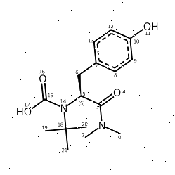 CN(C)C(=O)[C@H](Cc1ccc(O)cc1)N(C(=O)O)C(C)(C)C